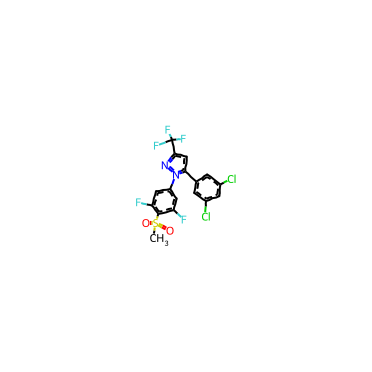 CS(=O)(=O)c1c(F)cc(-n2nc(C(F)(F)F)cc2-c2cc(Cl)cc(Cl)c2)cc1F